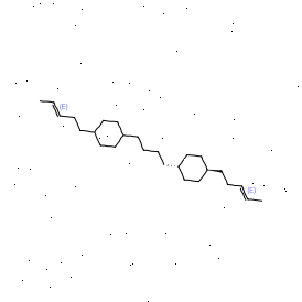 C/C=C/CCC1CCC(CCCC[C@H]2CC[C@H](CC/C=C/C)CC2)CC1